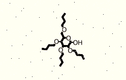 CCCCOCC1O[C@@H](O)C(OCCCC)C(OCCCC)[C@H]1OCCCC